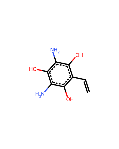 C=Cc1c(O)c(N)c(O)c(N)c1O